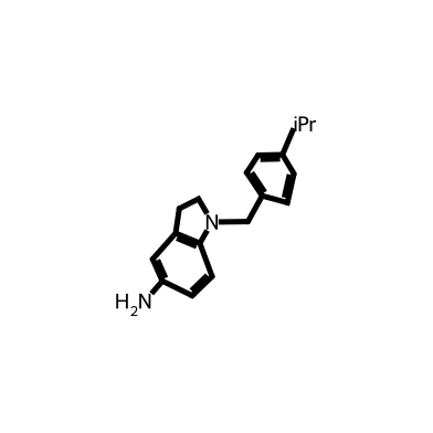 CC(C)c1ccc(CN2CCc3cc(N)ccc32)cc1